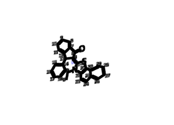 CCN1/C(=C2/C(=O)c3ccccc3C2c2ccccc2)Sc2c1ccc1ccccc21